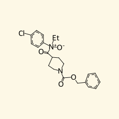 CC[N+]([O-])(C(=O)C1CCN(C(=O)OCc2ccccc2)CC1)c1ccc(Cl)cc1